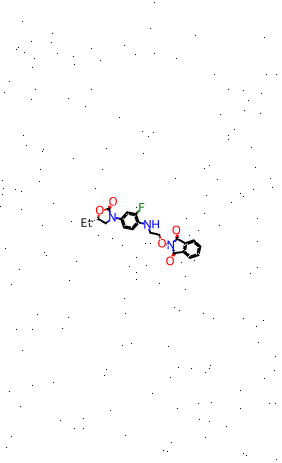 CC[C@H]1CN(c2ccc(NCCON3C(=O)c4ccccc4C3=O)c(F)c2)C(=O)O1